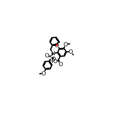 COc1ccc(S(=O)(=O)N(Cc2ccccc2)c2c(C(=O)O)cc(OC)c(OC)c2OC)cc1